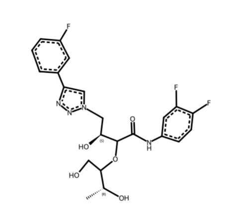 C[C@@H](O)C(CO)OC(C(=O)Nc1ccc(F)c(F)c1)[C@@H](O)Cn1cc(-c2cccc(F)c2)nn1